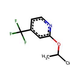 CC(C)Oc1cc(C(F)(F)F)ccn1